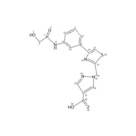 O=C(CO)Nc1cccc(-c2csc(Cn3cc(C(=O)O)cn3)n2)c1